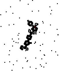 COc1ccc(NC(=O)c2ccc(-c3ccc(C(=O)N4CCC4)cc3C)cc2)cc1N1CCN(C)CC1